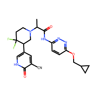 CC(C(=O)Nc1ccc(OCC2CC2)nn1)N1CCC(F)(F)C(c2c[nH]c(=O)c(C#N)c2)C1